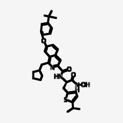 CC(C)c1ccc(C[C@@H](NC(=O)c2cc3ccc(Oc4ccc(C(C)(C)C)cc4)cc3c(CC3CCCC3)n2)C(=O)NO)s1